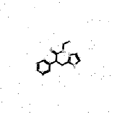 CCOC(=O)C(Cc1n[c]co1)c1ccccc1